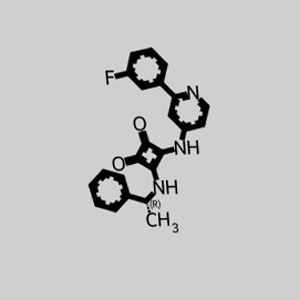 C[C@@H](Nc1c(Nc2ccnc(-c3cccc(F)c3)c2)c(=O)c1=O)c1ccccc1